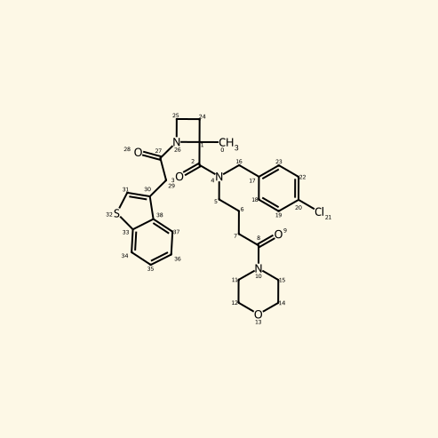 CC1(C(=O)N(CCCC(=O)N2CCOCC2)Cc2ccc(Cl)cc2)CCN1C(=O)Cc1csc2ccccc12